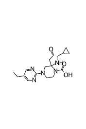 CCc1cnc(N2CCN(C(=O)O)C(CC=O)(NCC3CC3)C2)nc1